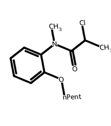 CCCCCOc1ccccc1N(C)C(=O)C(C)Cl